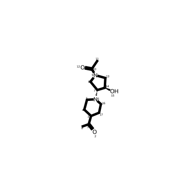 CC(=O)C1CCN([C@@H]2CN(C(C)=O)C[C@H]2O)CC1